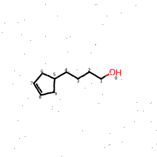 OCCCCC1CC=CC1